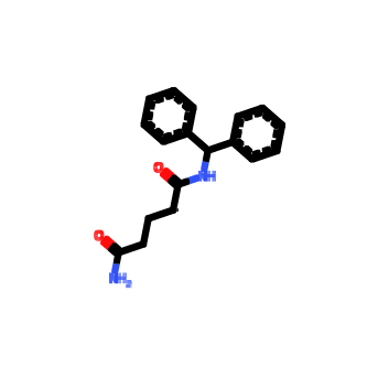 NC(=O)CC[CH]C(=O)NC(c1ccccc1)c1ccccc1